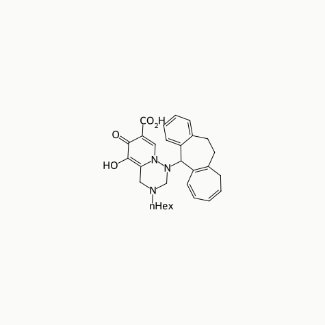 CCCCCCN1Cc2c(O)c(=O)c(C(=O)O)cn2N(C2C3=C(CC=CC=C3)CCc3ccccc32)C1